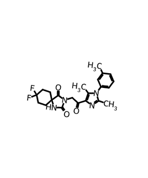 Cc1cccc(-n2c(C)nc(C(=O)CN3C(=O)NC4(CCC(F)(F)CC4)C3=O)c2C)c1